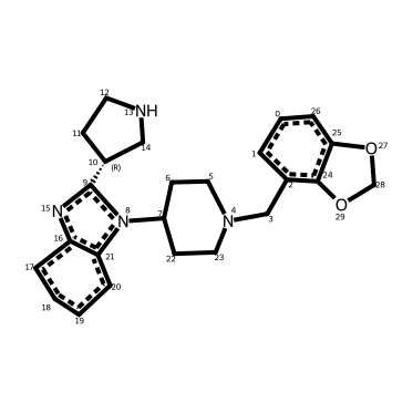 c1cc(CN2CCC(n3c([C@@H]4CCNC4)nc4ccccc43)CC2)c2c(c1)OCO2